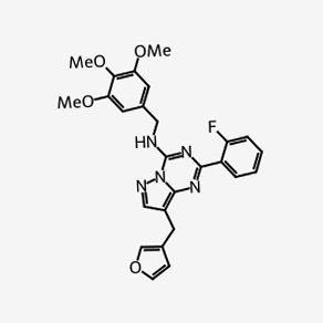 COc1cc(CNc2nc(-c3ccccc3F)nc3c(Cc4ccoc4)cnn23)cc(OC)c1OC